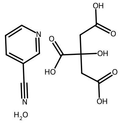 N#Cc1cccnc1.O.O=C(O)CC(O)(CC(=O)O)C(=O)O